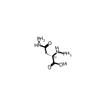 O=C(C[C@H](NP)C(=O)O)NP